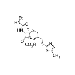 CCNC(=O)NC1C(=O)N2C(C(=O)O)=C(CSc3nnc(C)s3)CS[C@H]12